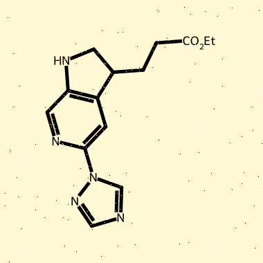 CCOC(=O)CCC1CNc2cnc(-n3cncn3)cc21